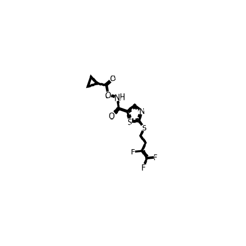 O=C(NOC(=O)C1CC1)c1cnc(SCCC(F)=C(F)F)s1